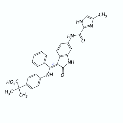 Cc1c[nH]c(C(=O)Nc2ccc3c(c2)NC(=O)/C3=C(\Nc2ccc(C(C)(C)C(=O)O)cc2)c2ccccc2)n1